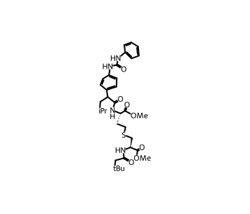 COC(=O)[C@H](CSCC[C@H](NC(=O)C(CC(C)C)c1ccc(NC(=O)Nc2ccccc2)cc1)C(=O)OC)NC(=O)CC(C)(C)C